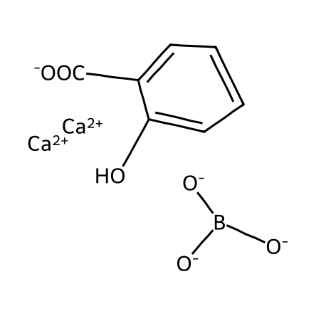 O=C([O-])c1ccccc1O.[Ca+2].[Ca+2].[O-]B([O-])[O-]